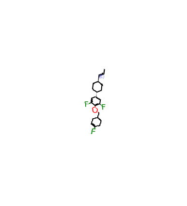 C/C=C/[C@H]1CC[C@H](c2cc(F)c(OCC3CC=C(F)CC3)c(F)c2)CC1